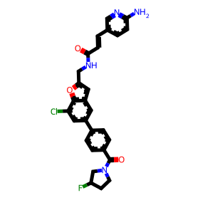 Nc1ccc(C=CC(=O)NCc2cc3cc(-c4ccc(C(=O)N5CCC(F)C5)cc4)cc(Cl)c3o2)cn1